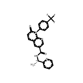 C[C@H](NC(=O)c1cnc2c(ccc(=O)n2-c2ccc(C(F)(F)F)cc2)c1)c1ccccn1